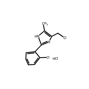 Cc1[nH]c(-c2ccccc2Cl)nc1CCl.Cl